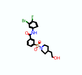 O=C(Nc1ccc(F)c(Br)c1)c1cccc(S(=O)(=O)N2CCC(CCO)CC2)c1